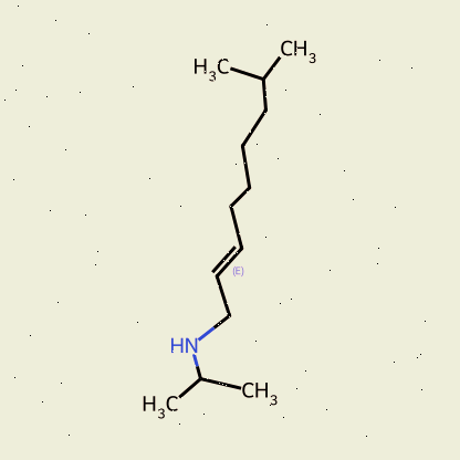 CC(C)CCCC/C=C/CNC(C)C